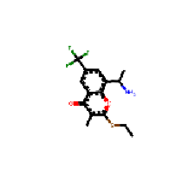 CCSc1oc2c(C(C)N)cc(C(F)(F)F)cc2c(=O)c1C